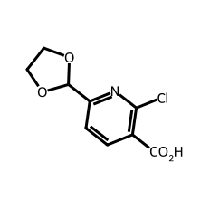 O=C(O)c1ccc(C2OCCO2)nc1Cl